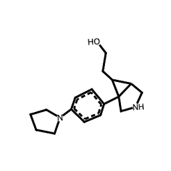 OCCC1C2CNCC12c1ccc(N2CCCC2)cc1